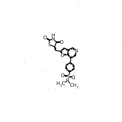 CN(C)S(=O)(=O)c1ccc(-c2cncc3cc(C=C4SC(=O)NC4=O)oc23)cc1